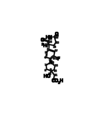 [2H]C1(c2ccc(N3CCC(O)(CC(=O)O)CC3)c(F)c2)CCC(=O)NC1=O